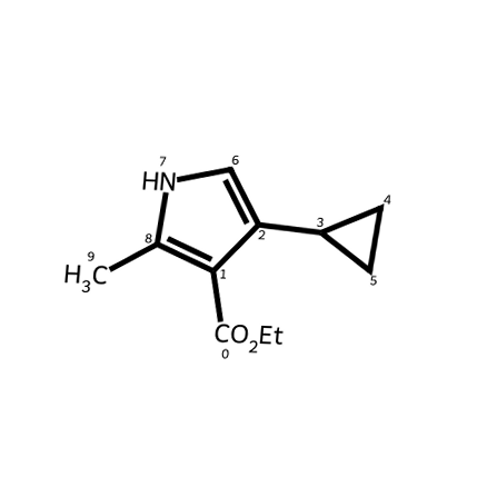 CCOC(=O)c1c(C2CC2)c[nH]c1C